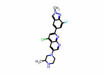 CC1CN(c2cnc3nc(-c4cc(F)c5nn(C)cc5c4)cc(Cl)c3c2)CCN1